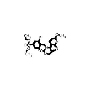 CCOP(=O)(OCC)c1cc(F)c(CN2C(=O)OCc3cnc4nc(OC)ccc4c32)c(F)c1